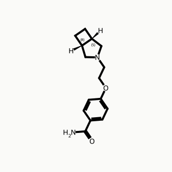 NC(=O)c1ccc(OCCN2C[C@H]3CC[C@H]3C2)cc1